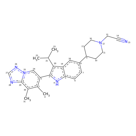 Cc1c(-c2[nH]c3ccc(C4CCN(CC#N)CC4)cc3c2C(C)C)cn2ncnc2c1C